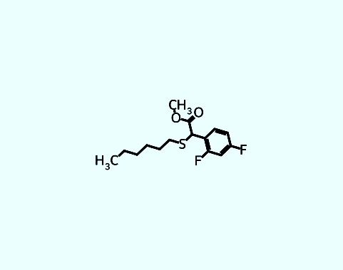 CCCCCCSC(C(=O)OC)c1ccc(F)cc1F